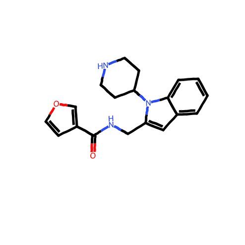 O=C(NCc1cc2ccccc2n1C1CCNCC1)c1ccoc1